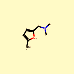 CN(C)Cc1ccc(C(C)(C)C)o1